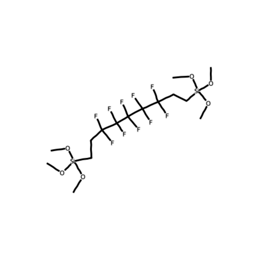 CO[Si](CCC(F)(F)C(F)(F)C(F)(F)C(F)(F)C(F)(F)CC[Si](OC)(OC)OC)(OC)OC